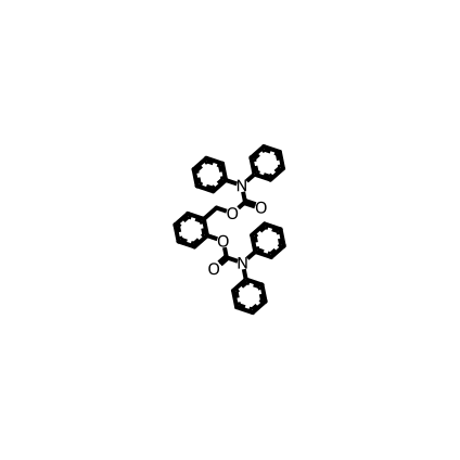 O=C(OCc1ccccc1OC(=O)N(c1ccccc1)c1ccccc1)N(c1ccccc1)c1ccccc1